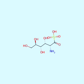 N[C@@H](C(=O)S(=O)(=O)O)[C@@H](O)[C@H](O)[C@H](O)CO